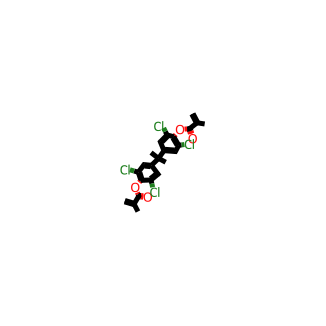 C=C(C)C(=O)Oc1c(Cl)cc(C(C)(C)c2cc(Cl)c(OC(=O)C(=C)C)c(Cl)c2)cc1Cl